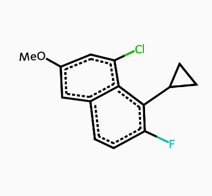 COc1cc(Cl)c2c(C3CC3)c(F)ccc2c1